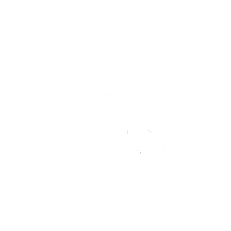 CCO[Si](CCn1c(=O)[nH]c(=O)[nH]c1=O)(OCC)OCC